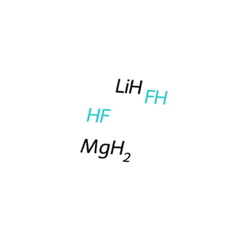 F.F.[LiH].[MgH2]